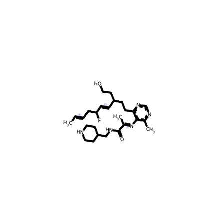 C/C=C/CC(F)/C=C/C(CCO)CCc1ncnc(C)c1/N=C(\C)C(=O)NCC1CCNCC1